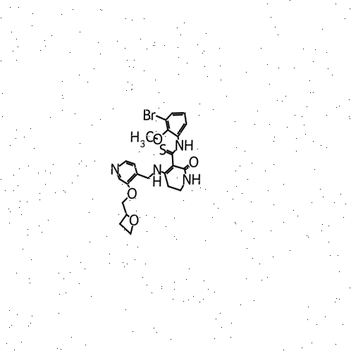 COc1c(Br)cccc1NC(=S)C1=C(NCc2ccncc2OCC2CCO2)CCNC1=O